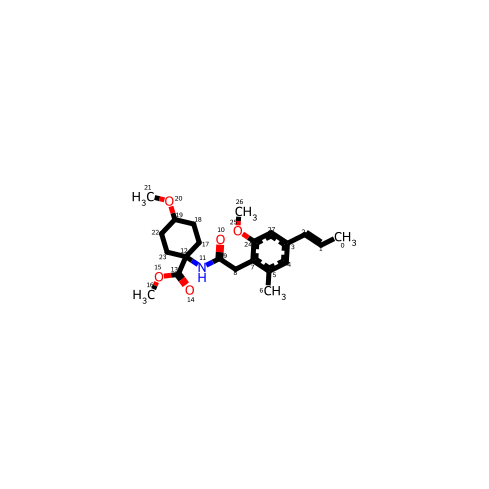 C/C=C/c1cc(C)c(CC(=O)NC2(C(=O)OC)CCC(OC)CC2)c(OC)c1